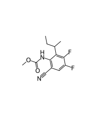 CCC(C)c1c(F)c(F)cc(C#N)c1NC(=O)OC